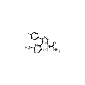 NC(=O)N(O)n1cnc(-c2ccc(F)cc2)c1-c1ccnc(N)n1